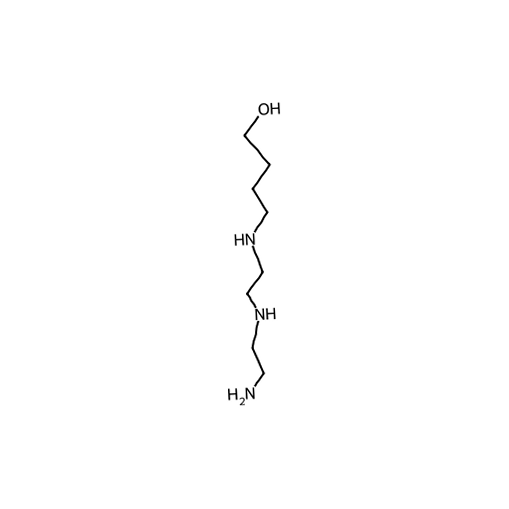 NCCNCCNCCCCO